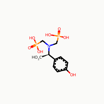 O=C(O)[C@H](c1ccc(O)cc1)N(CP(=O)(O)O)CP(=O)(O)O